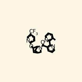 Cc1cccnc1-c1ncccc1C(=O)N1CC2CC(Oc3ccc(C(F)(F)F)cn3)C1C2